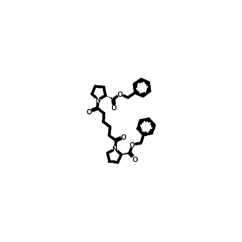 O=C(OCc1ccccc1)[C@H]1CCCN1C(=O)CCCCC(=O)N1CCC[C@@H]1C(=O)OCc1ccccc1